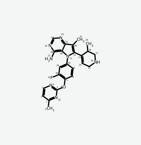 Cc1ccnc(Oc2ccc(-n3c(C4=CCNCC4C)c(C)c4ncnc(N)c43)cc2F)n1